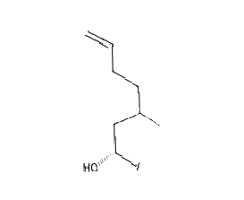 C=CCCC(C)C[C@@H](O)I